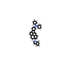 c1ccc(N(c2ccccc2)c2ccc3c(c2)-c2cc4ccc(-n5ccc6ccccc65)c5ccc6ccc-3c2c6c45)cc1